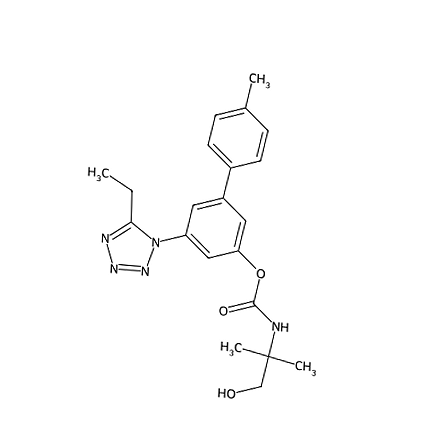 CCc1nnnn1-c1cc(OC(=O)NC(C)(C)CO)cc(-c2ccc(C)cc2)c1